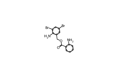 Nc1ccccc1C(=O)OCc1cc(Br)cc(Br)c1N